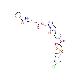 O=C(CCCCNC(=O)c1ccccc1)OCc1ncc2n1C(=O)N(C1CCN(C(=O)[C@H](O)CS(=O)(=O)c3ccc4cc(Cl)ccc4c3)CC1)C2